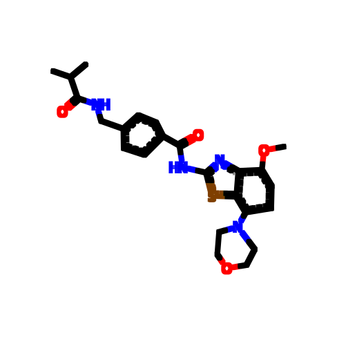 COc1ccc(N2CCOCC2)c2sc(NC(=O)c3ccc(CNC(=O)C(C)C)cc3)nc12